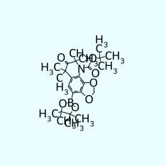 CC(C)(C)OC(=O)N1c2c(cc(B3OC(C)(C)C(C)(C)O3)c3c2OCO3)C(C)(C)C(=O)C1(C)C